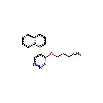 CCCCOc1cnn[c]c1-c1cccc2ccccc12